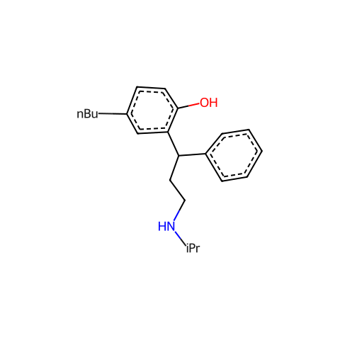 CCCCc1ccc(O)c(C(CCNC(C)C)c2ccccc2)c1